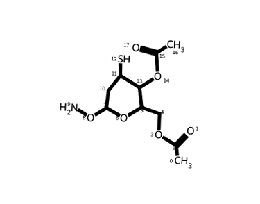 CC(=O)OCC1OC(ON)CC(S)C1OC(C)=O